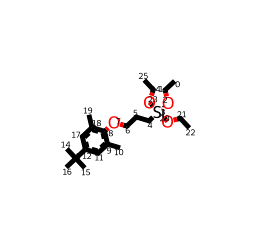 CCO[Si](CCCOc1c(C)cc(C(C)(C)C)cc1C)(OCC)OCC